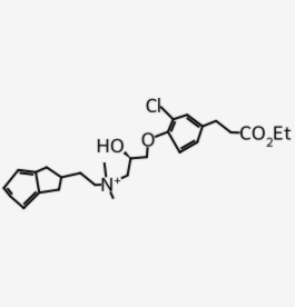 CCOC(=O)CCc1ccc(OC[C@H](O)C[N+](C)(C)CCC2Cc3ccccc3C2)c(Cl)c1